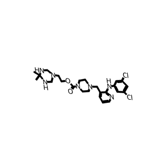 CC1(C)NCN(CCOC(=O)N2CCN(Cc3cccnc3Nc3cc(Cl)cc(Cl)c3)CC2)CN1